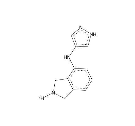 [2H]N1Cc2cccc(Nc3cn[nH]c3)c2C1